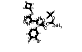 CC(C)(C)OC(N)=O.O=c1onc(-c2nonc2SC2CCC2)n1-c1ccc(F)c(Br)c1